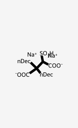 CCCCCCCCCCC(CCCCCCCCCC)(C(=O)[O-])C(C(=O)[O-])S(=O)(=O)O.[Na+].[Na+]